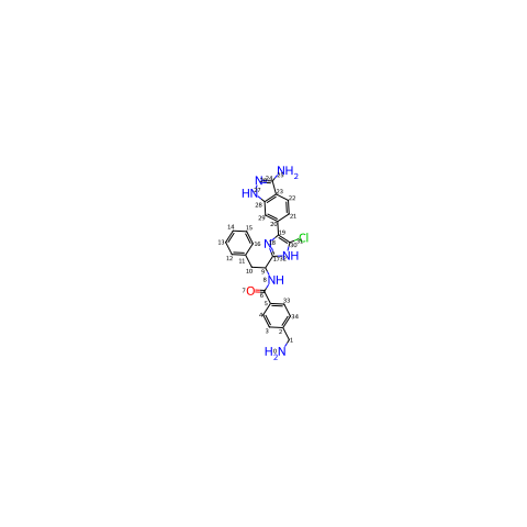 NCc1ccc(C(=O)NC(Cc2ccccc2)c2nc(-c3ccc4c(N)n[nH]c4c3)c(Cl)[nH]2)cc1